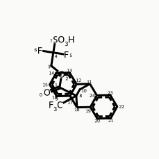 O=C(OCC(F)(F)S(=O)(=O)O)C1(C(F)(F)F)CC2c3ccccc3C1c1ccccc12